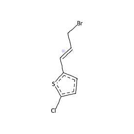 Clc1ccc(/C=C/CBr)s1